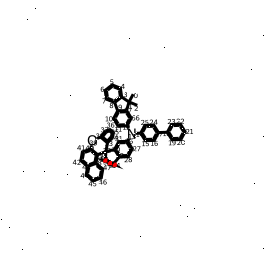 CC1(C)c2ccccc2-c2ccc(N(c3ccc(-c4ccccc4)cc3)c3ccc4c(c3)C3(c5ccccc5Oc5ccc6ccccc6c53)c3ccccc3-4)cc21